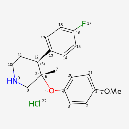 COc1ccc(O[C@]2(C)CNCC[C@H]2c2ccc(F)cc2)cc1.Cl